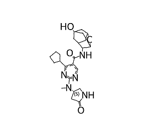 CN(c1ncc(C(=O)NC2C3CC4CC2CC(O)(C4)C3)c(C2CCCC2)n1)[C@@H]1CNC(=O)C1